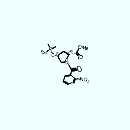 COC(=O)[C@H]1C[C@@H](O[Si](C)(C)C(C)(C)C)CN1C(=O)c1ccccc1[N+](=O)[O-]